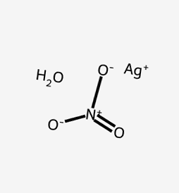 O.O=[N+]([O-])[O-].[Ag+]